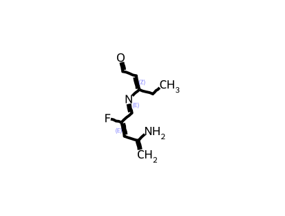 C=C(N)\C=C(F)/C=N/C(=C\C=O)CC